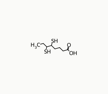 CCC(S)C(S)CCCC(=O)O